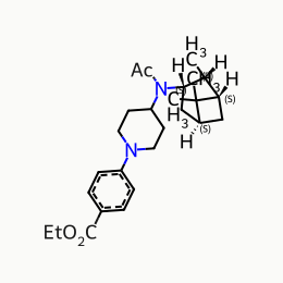 CCOC(=O)c1ccc(N2CCC(N(C(C)=O)[C@H]3C[C@@H]4C[C@@H]([C@H]3C)C4(C)C)CC2)cc1